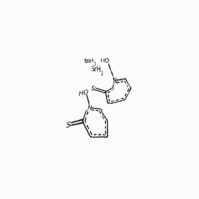 On1ccccc1=S.On1ccccc1=S.[BiH3].[SrH2]